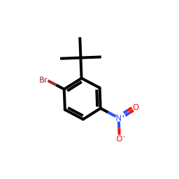 CC(C)(C)c1cc([N+](=O)[O-])ccc1Br